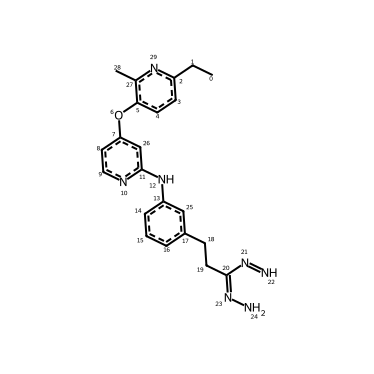 CCc1ccc(Oc2ccnc(Nc3cccc(CC/C(N=N)=N/N)c3)c2)c(C)n1